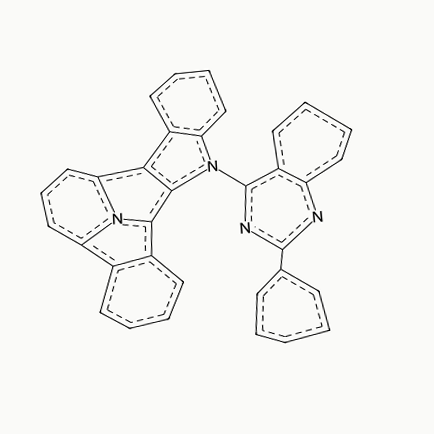 c1ccc(-c2nc(-n3c4ccccc4c4c3c3c5ccccc5c5cccc4n53)c3ccccc3n2)cc1